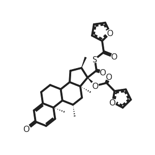 C[C@@H]1CC2C3CCC4=CC(=O)C=C[C@]4(C)C3[C@@H](C)C[C@]2(C)[C@@]1(OC(=O)c1ccco1)C(=O)SC(=O)c1ccco1